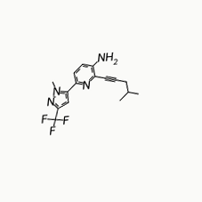 CC(C)CC#Cc1nc(-c2cc(C(F)(F)F)nn2C)ccc1N